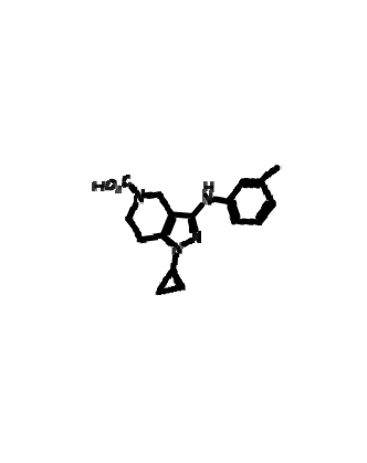 Cc1cccc(Nc2nn(C3CC3)c3c2CN(C(=O)O)CC3)c1